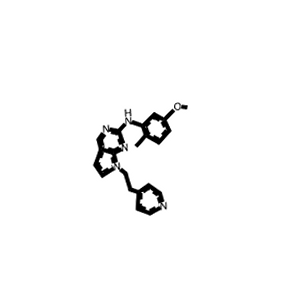 COc1ccc(C)c(Nc2ncc3ccn(CCc4ccncc4)c3n2)c1